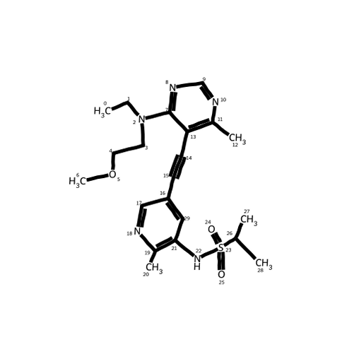 CCN(CCOC)c1ncnc(C)c1C#Cc1cnc(C)c(NS(=O)(=O)C(C)C)c1